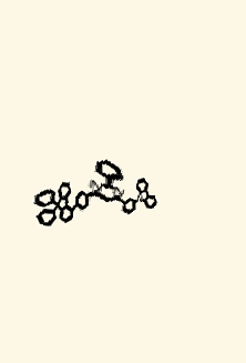 c1ccc(-c2nc(-c3ccc(-c4cccc5c4-c4ccccc4C5(c4ccccc4)c4ccccc4)cc3)cc(-c3cccc(-n4c5ccccc5c5ccccc54)c3)n2)cc1